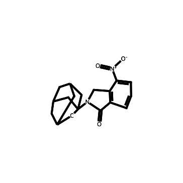 O=C1c2cccc([N+](=O)[O-])c2CN1C12CC3CC(CC(C3)C1)C2